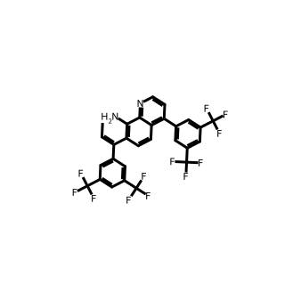 C/C=C(/c1cc(C(F)(F)F)cc(C(F)(F)F)c1)c1ccc2c(-c3cc(C(F)(F)F)cc(C(F)(F)F)c3)ccnc2c1N